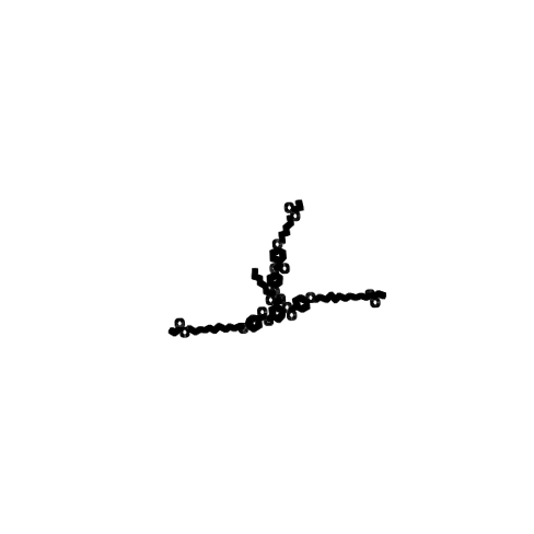 C=CC(=O)OCCCCCCCCCCCOc1ccc(C(=O)Oc2ccc(OC(=O)c3ccc(OCCCCCCCCCCCOC(=O)C=C)cc3)c(C(=O)OC(CCCCCC)Oc3ccc(OC(=O)c4ccc(OCCCCCCOC(=O)C=C)cc4)cc3)c2)cc1